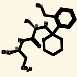 CC(C)[C@H](NC1(c2ccccc2CC(C)(C)C)CCCCO1)C(=O)N[C@H](C=O)CC(=O)O